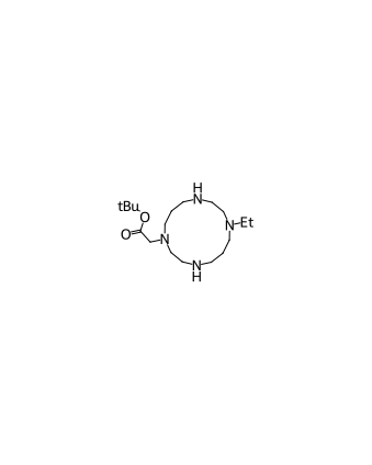 CCN1CCCNCCN(CC(=O)OC(C)(C)C)CCCNCC1